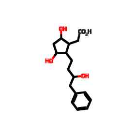 O=C(O)CC1C(O)CC(O)C1CCC(O)Cc1ccccc1